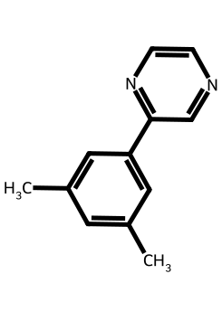 Cc1cc(C)cc(-c2cnccn2)c1